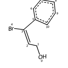 OC/C=C(/Br)c1ccccc1